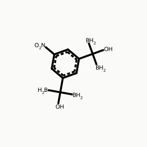 BC(B)(O)c1cc([N+](=O)[O-])cc(C(B)(B)O)c1